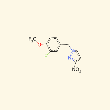 O=[N+]([O-])c1ccn(Cc2ccc(OC(F)(F)F)c(F)c2)n1